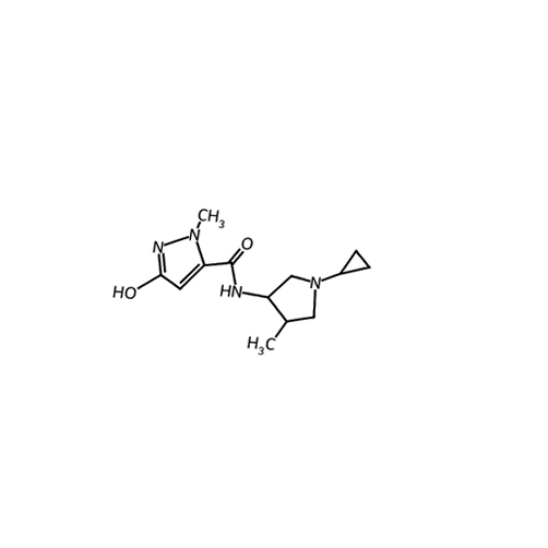 CC1CN(C2CC2)CC1NC(=O)c1cc(O)nn1C